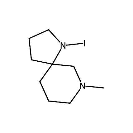 CN1CCCC2(CCCN2I)C1